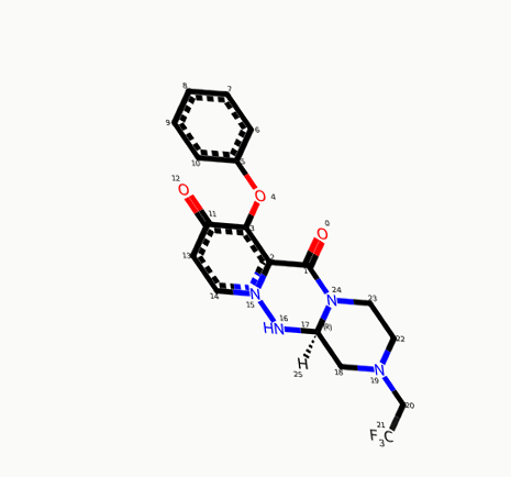 O=C1c2c(Oc3ccccc3)c(=O)ccn2N[C@@H]2CN(CC(F)(F)F)CCN12